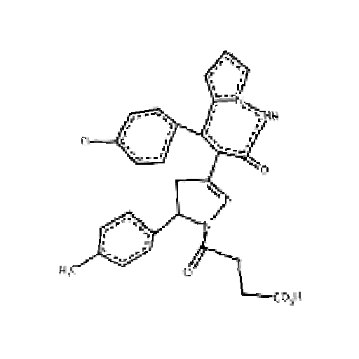 Cc1ccc(C2CC(c3c(-c4ccc(Cl)cc4)c4cccn4[nH]c3=O)=NN2C(=O)CCC(=O)O)cc1